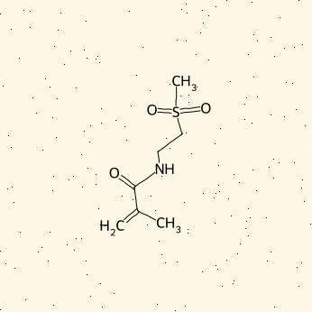 C=C(C)C(=O)NCCS(C)(=O)=O